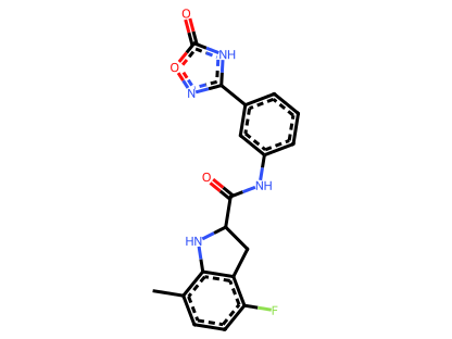 Cc1ccc(F)c2c1NC(C(=O)Nc1cccc(-c3noc(=O)[nH]3)c1)C2